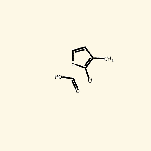 Cc1ccsc1Cl.O=CO